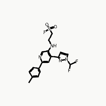 Cc1ccc(-c2cc(-c3ccn(C(F)F)n3)c(NCCS(=O)(=O)F)cn2)cc1